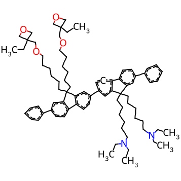 CCN(CC)CCCCCCC1(CCCCCCN(CC)CC)c2cc(-c3ccccc3)ccc2-c2ccc(-c3ccc4c(c3)C(CCCCCCOCC3(CC)COC3)(CCCCCCOCC3(CC)COC3)c3cc(-c5ccccc5)ccc3-4)cc21